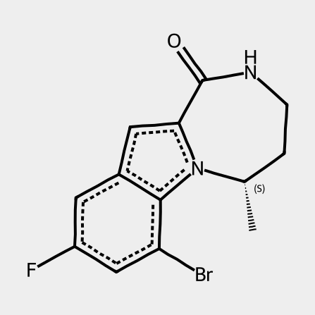 C[C@H]1CCNC(=O)c2cc3cc(F)cc(Br)c3n21